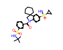 CC(C)(C)NS(=O)(=O)c1cccc(C(=O)N2CC3(CCCCC3)c3cc(S(=N)(=O)C4CC4)ccc32)c1